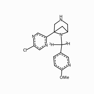 [2H]C([2H])(c1ccc(OC)nc1)N1C2CNCC1(c1cnc(Cl)cn1)C2